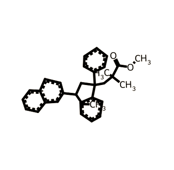 CCC(CC(CC(C)(C)C(=O)OC)(c1ccccc1)c1ccccc1)c1ccc2ccccc2c1